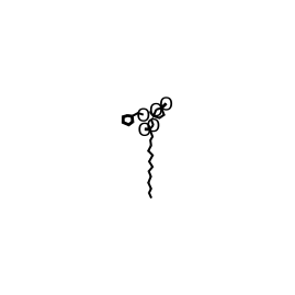 CCCCCCCCCCCCCC(=O)OC[C@]1(COCc2ccccc2)CCC(=O)O1